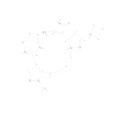 Cn1ncc2c1OCCCn1nc(N3CCC3)c3cnc(cc31)Nc1ccnc-2n1